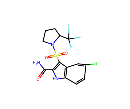 NC(=O)c1[nH]c2ccc(Cl)cc2c1S(=O)(=O)N1CCCC1C(F)(F)F